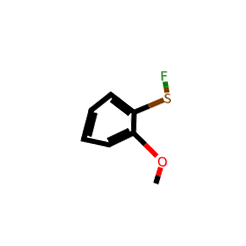 COc1ccccc1SF